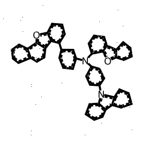 c1cc(-c2cccc3oc4c5ccccc5ccc4c23)cc(N(c2ccc(-n3c4ccccc4c4ccccc43)cc2)c2cccc3c2oc2ccccc23)c1